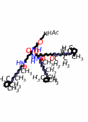 CC(=O)NCCCOCCCNC(=O)C(CCCCNC(=O)/C=C(C)/C=C/C=C(C)/C=C/C1=C(C)CCCC1(C)C)NC(=O)C(CCCCCC(=O)/C=C(C)/C=C/C=C(C)/C=C/C1=C(C)CCCC1(C)C)NC(=O)/C=C(C)/C=C/C=C(C)/C=C/C1=C(C)CCCC1(C)C